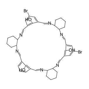 Oc1c2cccc1/C=N/C1CCCCC1/N=C/c1cc(Br)cc(c1O)/C=N/C1CCCCC1/N=C/c1cc(Br)cc(c1O)/C=N/C1CCCCC1/N=C/2